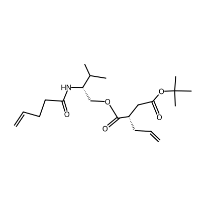 C=CCCC(=O)N[C@@H](COC(=O)[C@@H](CC=C)CC(=O)OC(C)(C)C)C(C)C